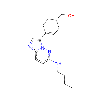 CCCCNc1ccc2ncc(C3=CCC(CO)CC3)n2n1